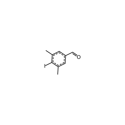 Cc1cc(C=O)cc(C)c1I